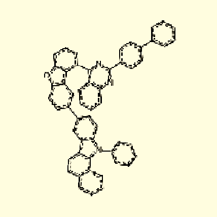 c1ccc(-c2ccc(-c3nc(-c4cccc5oc6ccc(-c7ccc8c(c7)c7ccc9ccccc9c7n8-c7ccccc7)cc6c45)c4ccccc4n3)cc2)cc1